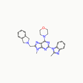 Cc1nc2ccccc2n1-c1nc(N2CCOCC2)c2nc(CN3Cc4ccccc4C3)n(C)c2n1